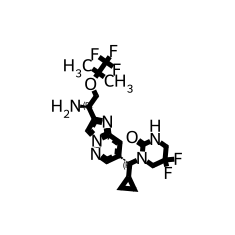 CC(C)(OC[C@H](N)c1cn2ncc([C@@H](C3CC3)N3CC(F)(F)CNC3=O)cc2n1)C(F)(F)F